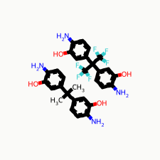 CC(C)(c1ccc(N)c(O)c1)c1ccc(N)c(O)c1.Nc1ccc(C(c2ccc(N)c(O)c2)(C(F)(F)F)C(F)(F)F)cc1O